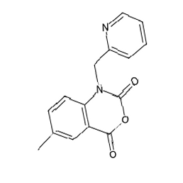 Cc1ccc2c(c1)c(=O)oc(=O)n2Cc1ccccn1